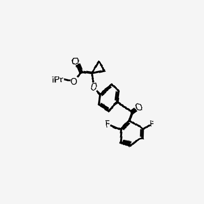 CC(C)OC(=O)C1(Oc2ccc(C(=O)c3c(F)cccc3F)cc2)CC1